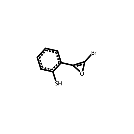 Sc1ccccc1C1=C(Br)O1